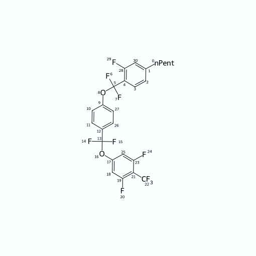 CCCCCc1ccc(C(F)(F)Oc2ccc(C(F)(F)Oc3cc(F)c(C(F)(F)F)c(F)c3)cc2)c(F)c1